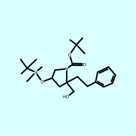 CC(C)(C)OC(=O)N1CC(O[Si](C)(C)C(C)(C)C)CC1(CO)CCc1ccccc1